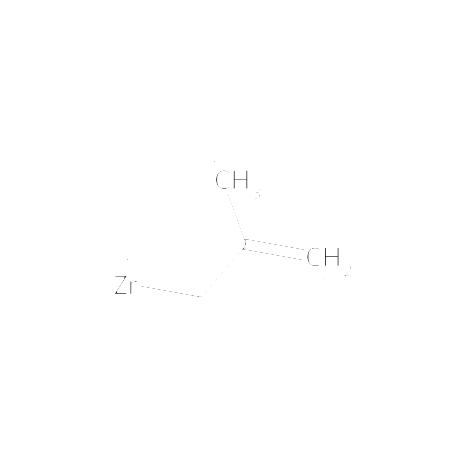 C=C(C)[CH2][Zr]